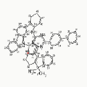 CC1(C)C2=C(C(c3nc(-c4ccc(-c5ccccc5)cc4)nc(-n4c5c(c6ccc7c8ccccc8n(-c8ccccc8)c7c64)CCC=C5)n3)=CCC2)c2ccccc21